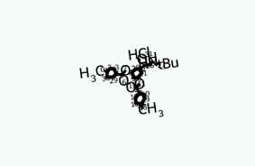 Cc1ccc(C(=O)Oc2cc(OC(=O)c3ccc(C)cc3)cc(C(O)CNC(C)(C)C)c2)cc1.Cl